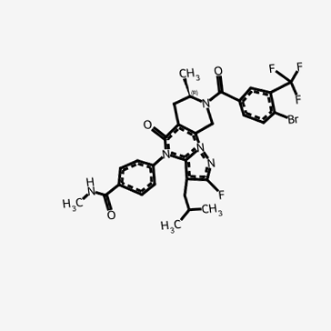 CNC(=O)c1ccc(-n2c(=O)c3c(n4nc(F)c(CC(C)C)c24)CN(C(=O)c2ccc(Br)c(C(F)(F)F)c2)[C@H](C)C3)cc1